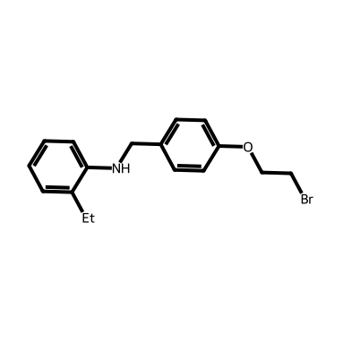 CCc1ccccc1NCc1ccc(OCCBr)cc1